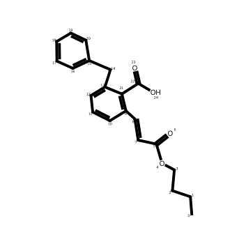 CCCCOC(=O)C=Cc1cccc(Cc2ccccc2)c1C(=O)O